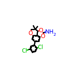 CC1(C)COc2cc(-c3cc(Cl)ccc3Cl)ccc2C1OC(N)=O